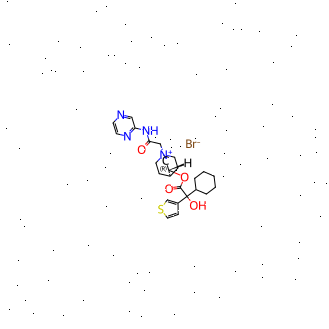 O=C(C[N+]12CCC(CC1)[C@@H](OC(=O)C(O)(c1ccsc1)C1CCCCC1)C2)Nc1cnccn1.[Br-]